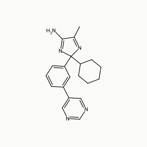 CC1=NC(c2cccc(-c3cncnc3)c2)(C2CCCCC2)N=C1N